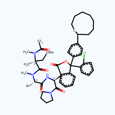 COC[C@@](C)(C(=O)N(C)[C@H](C(=O)N[C@@H](CC(=O)OC(c1ccccc1)(c1ccc(C2CCCCCCCC2)cc1)c1ccccc1Cl)C(=O)N1CCCC1)C(C)C)N(C)C(=O)C(F)(F)F